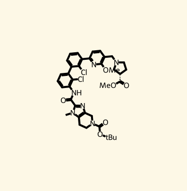 COC(=O)[C@H]1CCN(Cc2ccc(-c3cccc(-c4cccc(NC(=O)c5nc6c(n5C)CCN(C(=O)OC(C)(C)C)C6)c4Cl)c3Cl)nc2OC)C1